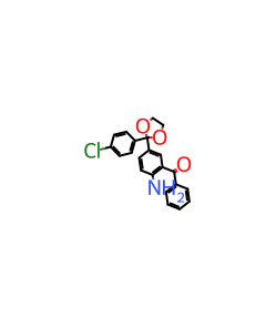 Nc1ccc(C2(c3ccc(Cl)cc3)OCCO2)cc1C(=O)c1ccccc1